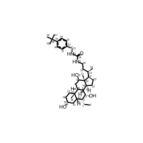 CC[C@H]1[C@@H](O)[C@@H]2[C@H](C[C@@H](O)[C@]3(C)[C@@H]([C@H](C)CCNC(=O)NSc4ccc(C(C)(C)C)cc4)CC[C@@H]23)[C@@]2(C)CC[C@@H](O)C[C@@H]12